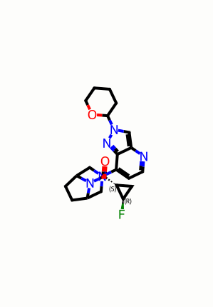 O=C([C@@H]1C[C@H]1F)N1C2CCC1CN(c1ccnc3cn(C4CCCCO4)nc13)C2